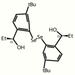 CC[C@H](O)c1ccc(C(C)(C)C)cc1[Se][Se]c1cc(C(C)(C)C)ccc1[C@@H](O)CC